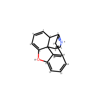 C1=C[C]2C3=NC=CC24C(=C1)Oc1cccc(c14)C3